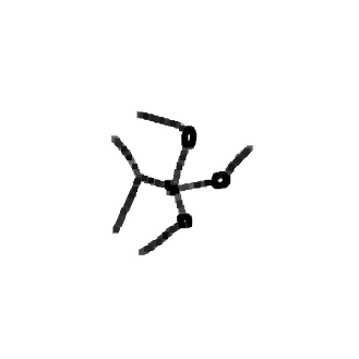 CO[Si](OC)(OC)C(C)C